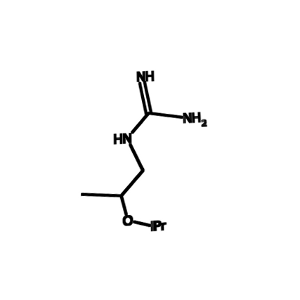 CC(C)OC(C)CNC(=N)N